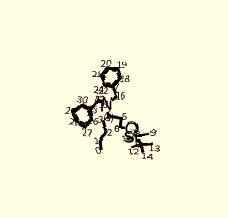 CCCC[C@@H](CCO[Si](C)(C)C(C)(C)C)N(Cc1ccccc1)[C@@H](C)c1ccccc1